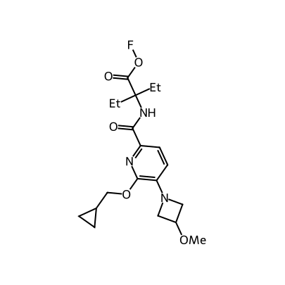 CCC(CC)(NC(=O)c1ccc(N2CC(OC)C2)c(OCC2CC2)n1)C(=O)OF